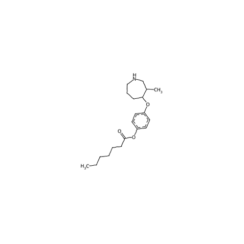 CCCCCCC(=O)Oc1ccc(OC2CCCNCC2C)cc1